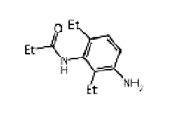 CCC(=O)Nc1c(CC)ccc(N)c1CC